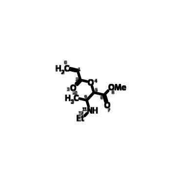 C=CC(=O)OC(C(=O)OC)C(C)NCC